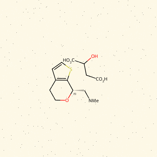 CNC[C@@H]1OCCc2ccsc21.O=C(O)CC(O)C(=O)O